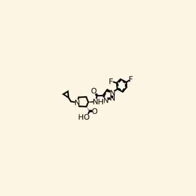 O=C(N[C@@H]1CCN(CC2CC2)C[C@H]1C(=O)O)c1cn(-c2ccc(F)cc2F)nn1